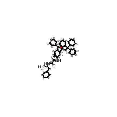 C[C@H](Cc1ccccc1)NC(=O)c1nc2cc3c(-c4ccncc4)nn(CC(c4ccccc4)(c4ccccc4)c4ccccc4)c3cc2[nH]1